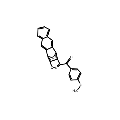 COc1ccc(C(=O)c2noc3c4oc(c5cc6ccccc6cc54)c23)cc1